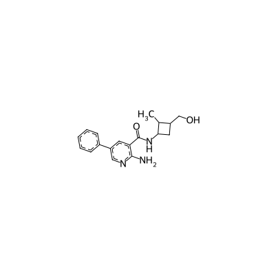 CC1C(CO)CC1NC(=O)c1cc(-c2ccccc2)cnc1N